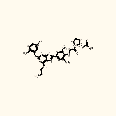 CCCOc1nc(Oc2cc(F)ccc2C)nc2oc(-c3cc(C)c(OCC(=O)N4CCC[C@@H]4OC(=O)O)c(C)c3)nc12